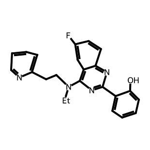 CCN(CCc1ccccn1)c1nc(-c2ccccc2O)nc2ccc(F)cc12